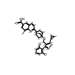 O=C(O)c1cc(F)c2nc(C34CCC(OCc5c(-c6c(Cl)cncc6Cl)noc5C5CC5)(CC3)CC4)ccc2c1